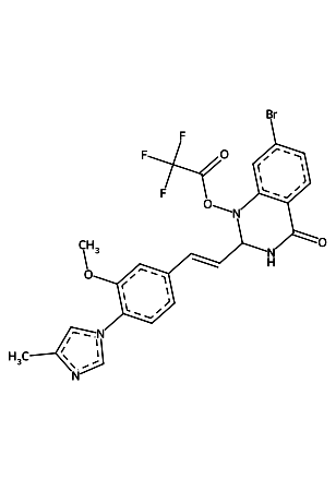 COc1cc(C=CC2NC(=O)c3ccc(Br)cc3N2OC(=O)C(F)(F)F)ccc1-n1cnc(C)c1